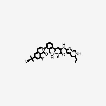 CCC1Cc2cc(Nc3cc(-c4cccc(-n5ccc6cc(C(C)(C)C#N)cc(F)c6c5=O)c4CO)nn(C)c3=O)nn2CN1